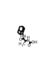 CC(NC(=O)O)C(=O)NC1C2CC3CC(C2)CC1C3